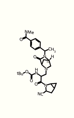 CNC(=O)c1ccc(C(C)N2C(=O)C3C[C@H]2CN3CC(NC(=O)OC(C)(C)C)C(=O)N2C(C#N)CC3CC32)cc1